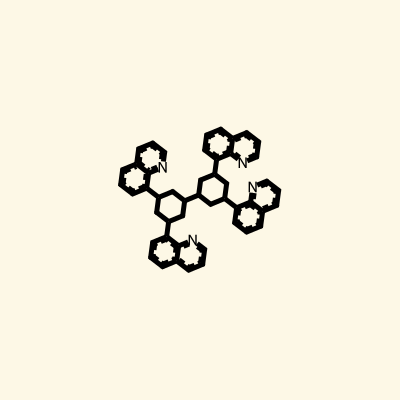 c1cnc2c(C3CC(c4cccc5cccnc45)CC(C4CC(c5cccc6cccnc56)CC(c5cccc6cccnc56)C4)C3)cccc2c1